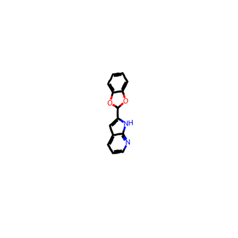 c1ccc2c(c1)OC(c1cc3cccnc3[nH]1)O2